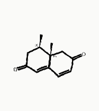 C[C@@H]1CC(=O)C=C2C=CC(=O)C[C@]21C